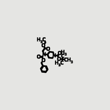 CCOC(=O)CN(C(=O)OCc1ccccc1)C1CCN(C(=O)OC(C)(C)C)CC1